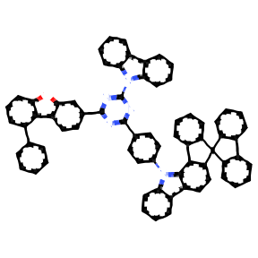 c1ccc(-c2cccc3oc4cc(-c5nc(-c6ccc(-n7c8ccccc8c8ccc9c(c87)-c7ccccc7C97c8ccccc8-c8ccccc87)cc6)nc(-n6c7ccccc7c7ccccc76)n5)ccc4c23)cc1